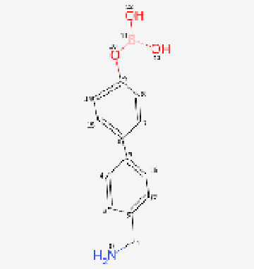 NCc1ccc(-c2ccc(OB(O)O)cc2)cc1